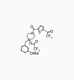 COc1cccc(C[N+]2(OC(=O)C(F)(F)F)CCN(C(=O)c3ccc(C(=O)C(F)(F)F)s3)CC2)c1